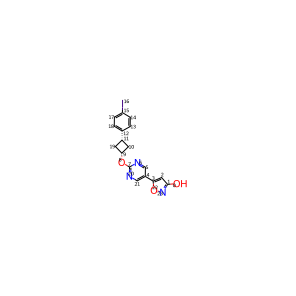 Oc1cc(-c2cnc(O[C@H]3C[C@@H](c4ccc(I)cc4)C3)nc2)on1